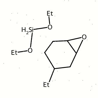 CCC1CCC2OC2C1.CCO[SiH2]OCC